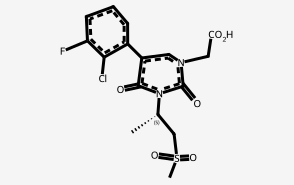 C[C@@H](CS(C)(=O)=O)n1c(=O)c(-c2cccc(F)c2Cl)cn(CC(=O)O)c1=O